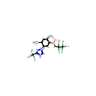 Cc1cc(C)c([S+]([O-])CC(F)(F)C(F)(F)F)cc1-n1cnc(C(F)(F)F)n1